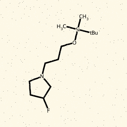 CC(C)(C)[Si](C)(C)OCCCN1CCC(F)C1